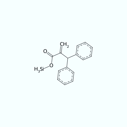 C=C(C(=O)O[SiH3])C(c1ccccc1)c1ccccc1